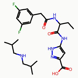 CC(C)CNCC(C)C.CCC(NC(=O)Cc1cc(F)cc(F)c1)C(=O)Nc1cc(C(=O)O)n[nH]1